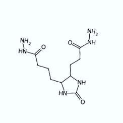 NNC(=O)CCCC1NC(=O)NC1CCC(=O)NN